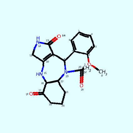 COc1ccccc1C1C2=C(CNC2=O)NC2C(=O)CCCC2N1C(C)=O